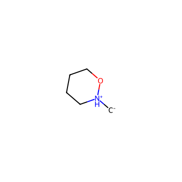 [CH2-][NH+]1CCCCO1